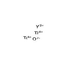 [O-2].[Ti+4].[Ti+4].[Y+3]